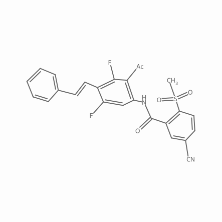 CC(=O)c1c(NC(=O)c2cc(C#N)ccc2S(C)(=O)=O)cc(F)c(/C=C/c2ccccc2)c1F